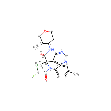 Cc1ccc(N(C(=O)[C@H](F)Cl)[C@](C)(C(=O)N[C@H]2CCOC[C@H]2C)c2cncnc2)cc1